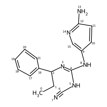 CCC(N=C(NC#N)Nc1ccc(N)nc1)c1ccccc1